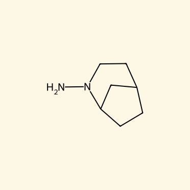 NN1CCC2CCC1C2